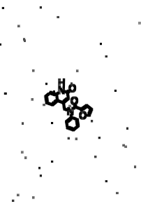 O=C(c1ccco1)N(Cc1cc(=O)[nH]c2ccccc12)c1ccccc1